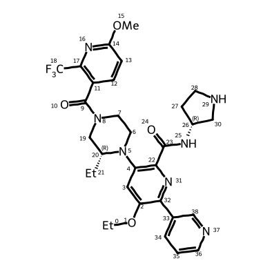 CCOc1cc(N2CCN(C(=O)c3ccc(OC)nc3C(F)(F)F)C[C@H]2CC)c(C(=O)N[C@@H]2CCNC2)nc1-c1cccnc1